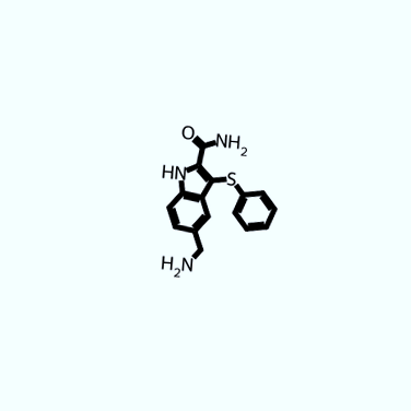 NCc1ccc2[nH]c(C(N)=O)c(Sc3ccccc3)c2c1